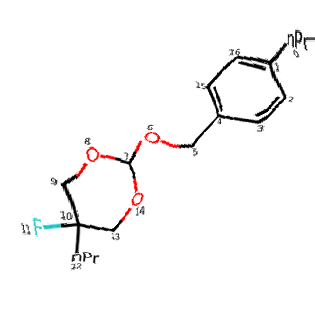 CCCc1ccc(COC2OCC(F)(CCC)CO2)cc1